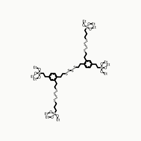 CCO[Si](CCCSSSSCCc1cc(CC[Si](OCC)(OCC)OCC)ccc1CCSSSSCCc1ccc(CC[Si](OCC)(OCC)OCC)cc1CCSSSSCCC[Si](OCC)(OCC)OCC)(OCC)OCC